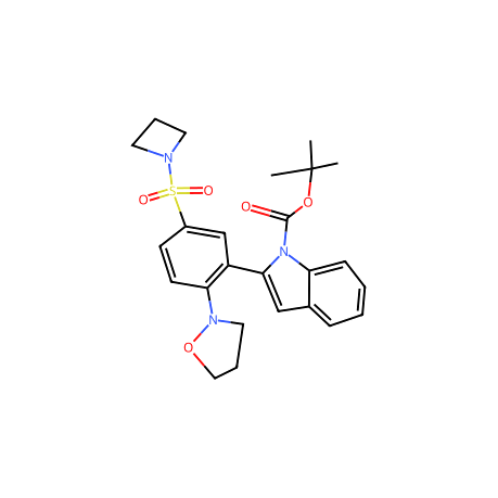 CC(C)(C)OC(=O)n1c(-c2cc(S(=O)(=O)N3CCC3)ccc2N2CCCO2)cc2ccccc21